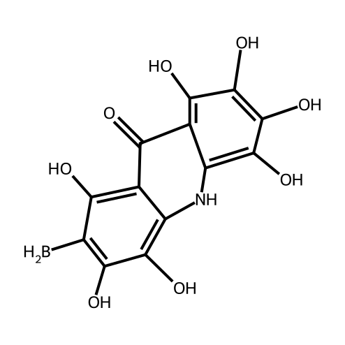 Bc1c(O)c(O)c2[nH]c3c(O)c(O)c(O)c(O)c3c(=O)c2c1O